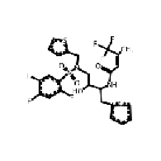 C/C(=C/C(=O)NC(Cc1ccccc1)C(O)CN(Cc1cccs1)S(=O)(=O)c1cc(F)c(F)cc1F)C(F)(F)F